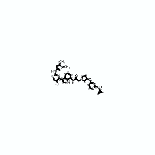 Cc1cc(Nc2ncc(Cl)c(-c3c[nH]c4c(NC(=O)CN5CCC(Oc6ccnc(NC7CC7)n6)C5)cccc34)n2)nn1C